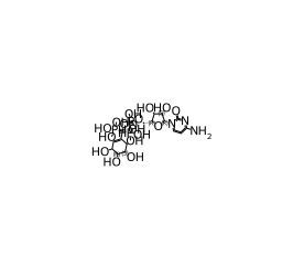 Nc1ccn([C@@H]2O[C@H](COP(=O)(O)OC(C3=CC(O)[C@H](O)[C@@H](O)C3)([PH](O)(O)O)[PH](O)(O)O)C(O)[C@@H]2O)c(=O)n1